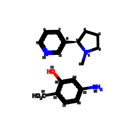 CN1CCC[C@H]1c1cccnc1.Nc1ccc(C(=O)O)c(O)c1